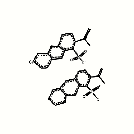 C=C(C)c1ccc2cc3ccccc3cc2c1S(=O)(=O)[O-].C=C(C)c1ccc2cc3ccccc3cc2c1S(=O)(=O)[O-].[Ca+2]